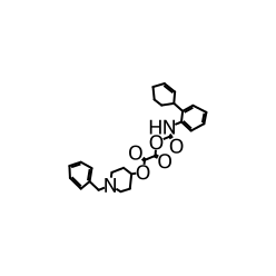 O=C(Nc1ccccc1C1C=CCCC1)OC(=O)C(=O)OC1CCN(Cc2ccccc2)CC1